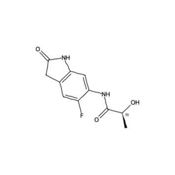 C[C@H](O)C(=O)Nc1cc2c(cc1F)CC(=O)N2